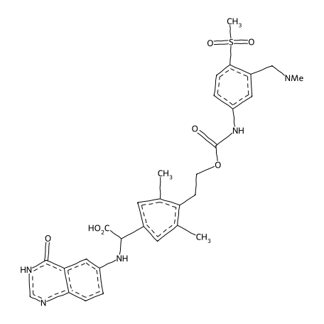 CNCc1cc(NC(=O)OCCc2c(C)cc(C(Nc3ccc4nc[nH]c(=O)c4c3)C(=O)O)cc2C)ccc1S(C)(=O)=O